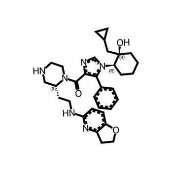 O=C(c1ncn([C@@H]2CCCC[C@@]2(O)CC2CC2)c1-c1ccccc1)N1CCNC[C@H]1CCNc1ccc2c(n1)CCO2